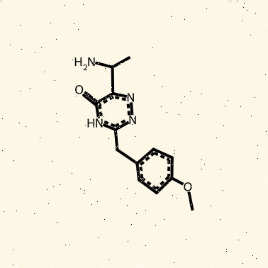 COc1ccc(Cc2nnc(C(C)N)c(=O)[nH]2)cc1